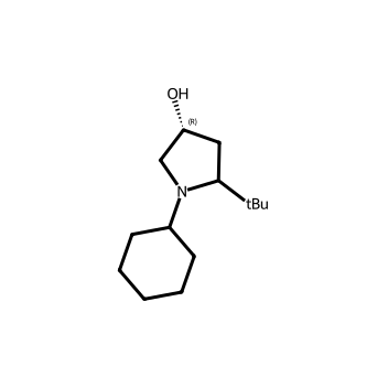 CC(C)(C)C1C[C@@H](O)CN1C1CCCCC1